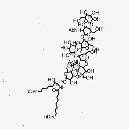 CCCCCCCCCCCCC/C=C/[C@@H](O)[C@H](CO[C@@H]1OC(CO)[C@@H](O[C@@H]2OC(CO)[C@H](O)[C@H](O[C@@H]3OC(CO)[C@@H](O[C@@H]4OC(CO)[C@H](O)[C@H](O[C@@H]5OC(CO)[C@@H](O[C@@H]6OC(CO)[C@H](O)[C@H](O)C6O)[C@H](O)C5NC(C)=O)C4O)[C@H](O[C@H]4OC(C)[C@@H](O)C(O)[C@@H]4O)C3NC(C)=O)C2O)[C@H](O)C1O)NC(=O)CCCCCCCCCCCCCCCCC